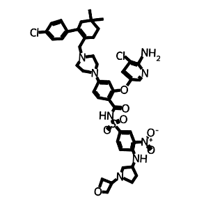 CC1(C)CCC(CN2CCN(c3ccc(C(=O)NS(=O)(=O)c4ccc(NC5CCN(C6COC6)C5)c([N+](=O)[O-])c4)c(Oc4cnc(N)c(Cl)c4)c3)CC2)=C(c2ccc(Cl)cc2)C1